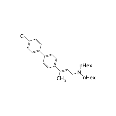 CCCCCCN(CC=C(C)c1ccc(-c2ccc(Cl)cc2)cc1)CCCCCC